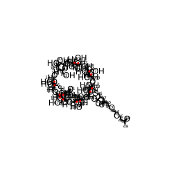 CN[C@H](CSCC1O[C@@H]2O[C@@H]3C(CO)O[C@H](O[C@@H]4C(CO)O[C@H](O[C@@H]5C(CO)O[C@H](O[C@@H]6C(CSCC(CC(=O)CCOCCOCCC(C)=O)C(=O)O)O[C@H](O[C@@H]7C(CO)O[C@H](O[C@@H]8C(CO)O[C@H](O[C@H]1[C@H](O)C2O)C(O)[C@H]8O)C(O)[C@H]7O)C(O)[C@H]6O)C(O)[C@H]5O)C(O)[C@H]4O)C(O)[C@H]3O)C(=O)O